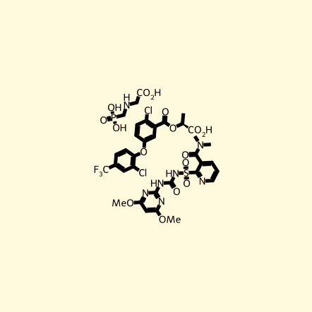 COc1cc(OC)nc(NC(=O)NS(=O)(=O)c2ncccc2C(=O)N(C)C)n1.C[C@H](OC(=O)c1cc(Oc2ccc(C(F)(F)F)cc2Cl)ccc1Cl)C(=O)O.O=C(O)CNCP(=O)(O)O